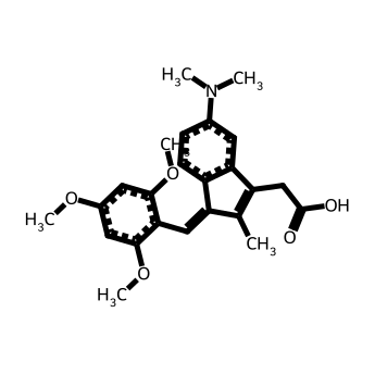 COc1cc(OC)c(C=C2C(C)=C(CC(=O)O)c3cc(N(C)C)ccc32)c(OC)c1